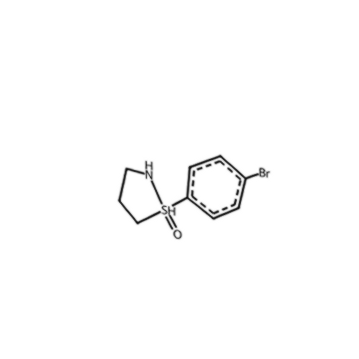 O=[SH]1(c2ccc(Br)cc2)CCCN1